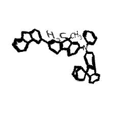 CC1(C)c2cc(-c3ccc4c(c3)-c3ccccc3C4)ccc2-c2ccc(N(c3ccccc3)c3ccc4c(c3)C3(CC5CCC3C5)c3ccccc3-4)cc21